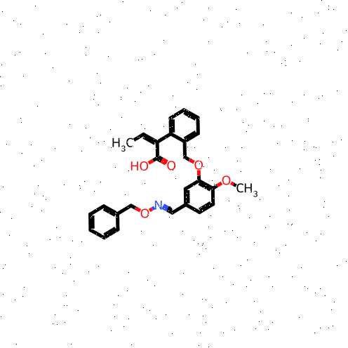 CC=C(C(=O)O)c1ccccc1COc1cc(C=NOCc2ccccc2)ccc1OC